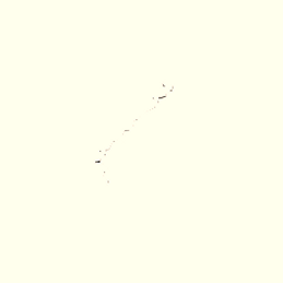 CC[S+]([O-])/C=N/CCSCSCSCCNC(=O)SCCO